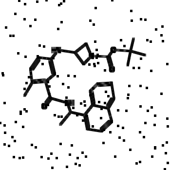 Cc1ccc(NC2CN(C(=O)OC(C)(C)C)C2)cc1C(=O)NC(C)c1cccc2ccccc12